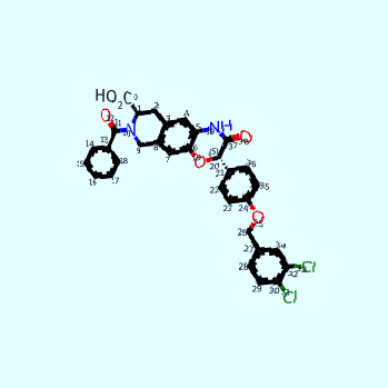 O=C(O)C1Cc2cc3c(cc2CN1C(=O)c1ccccc1)O[C@@H](c1ccc(OCc2ccc(Cl)c(Cl)c2)cc1)C(=O)N3